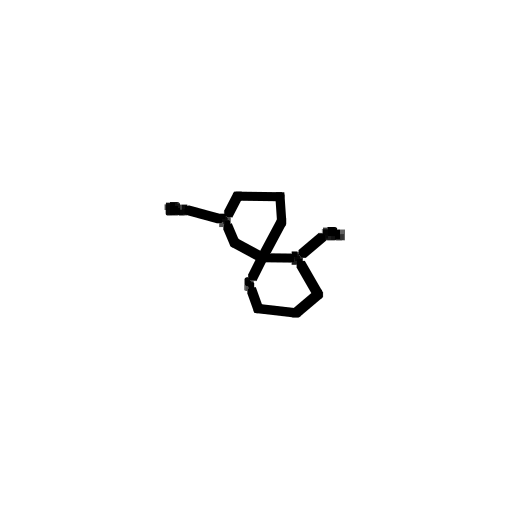 CC(C)(C)N1CCCC2(C1)SCCCN2C(C)(C)C